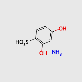 N.O=S(=O)(O)c1ccc(O)cc1O